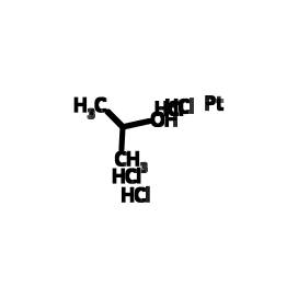 CC(C)O.Cl.Cl.Cl.Cl.[Pt]